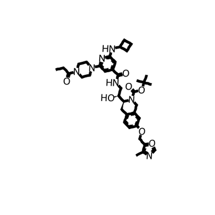 CCC(=O)N1CCN(c2cc(C(=O)NC[C@@H](O)[C@@H]3Cc4ccc(OCc5ocnc5C)cc4CN3C(=O)OC(C)(C)C)cc(NC3CCC3)n2)CC1